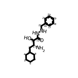 N[C@H](CC1CCCCC1)C(O)C(=O)NNCc1ccccc1